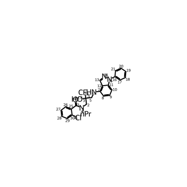 CCCN(CC(O)(CNc1cccc2c1cnn2-c1ccccc1)C(F)(F)F)C(=O)c1ccccc1Cl